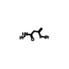 C=C(CC(=O)NC(C)C)SC(C)C